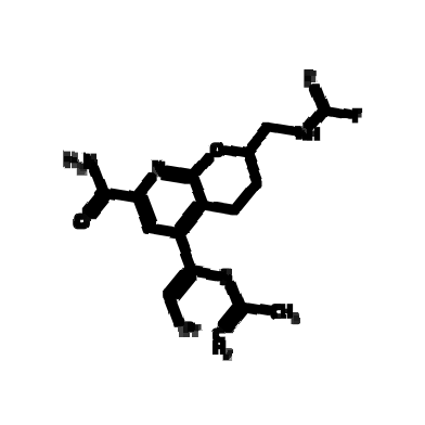 C=C(C)S/C(=C\C(C)C)c1cc(C(N)=O)nc2c1CCC(CNC(F)F)O2